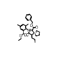 CCCC(C(=O)Nc1c(C)cc(C)cc1C(=O)OCC)[N+]1(CC(=O)OCc2ccccc2)CCCC1